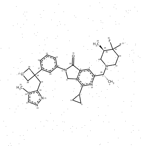 C[C@H](c1cc2c(c(C3CC3)n1)CN(c1cccc(C3(Cc4nncn4C)COC3)c1)C2=O)N1CCC(F)(F)[C@H](C)C1